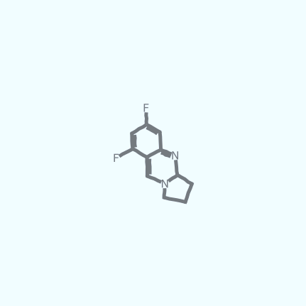 Fc1cc(F)c2c(c1)=NC1CCCN1C=2